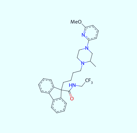 COc1cccc(N2CCN(CCCCC3(C(=O)NCC(F)(F)F)c4ccccc4-c4ccccc43)C(C)C2)n1